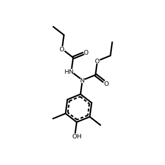 CCOC(=O)NN(C(=O)OCC)c1cc(C)c(O)c(C)c1